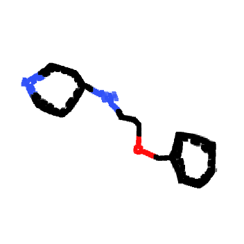 [c]1ccc(OCCNc2ccncc2)cc1